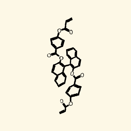 C=CC(=O)Oc1ccc(C(=O)Oc2ccc3ccccc3c2-c2c(OC(=O)c3ccc(OC(=O)C=C)cc3)ccc3ccccc23)cc1